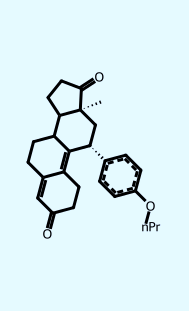 CCCOc1ccc([C@H]2C[C@]3(C)C(=O)CCC3C3CCC4=CC(=O)CCC4=C32)cc1